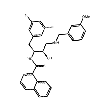 COc1cccc(CNC[C@@H](O)[C@H](Cc2cc(F)cc(F)c2)NC(=O)c2cccc3ccccc23)c1